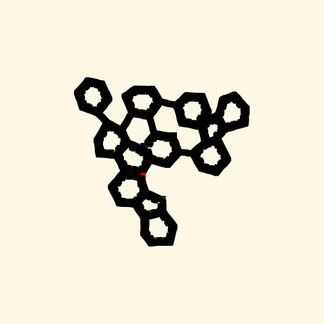 c1ccc(-c2cccc(-c3c(-c4ccccc4)ccc4ccccc34)c2-c2nc(-c3cccc4c3sc3ccccc34)cc(-c3cccc4c3sc3ccccc34)n2)cc1